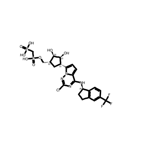 O=P(O)(O)CP(=O)(O)OC[C@H]1C[C@@H](c2ccc3c(N[C@@H]4CCc5cc(C(F)(F)F)ccc54)nc(Cl)nn23)[C@H](O)[C@@H]1O